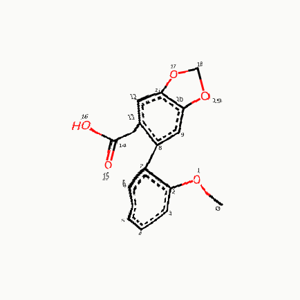 COc1ccccc1-c1cc2c(cc1C(=O)O)OCO2